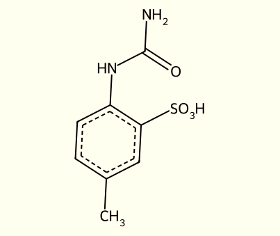 Cc1ccc(NC(N)=O)c(S(=O)(=O)O)c1